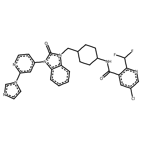 O=C(NC1CCC(Cn2c(=O)n(-c3ccnc(-n4ccnc4)c3)c3ccccc32)CC1)c1cc(Cl)cnc1C(F)F